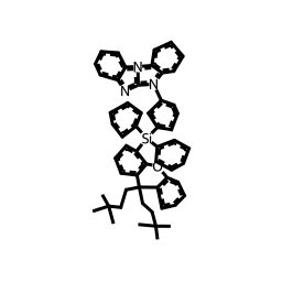 CC(C)(C)CCC1(CCC(C)(C)C)c2ccccc2Oc2c1cccc2[Si](c1ccccc1)(c1ccccc1)c1cccc(-n2c3ccccc3n3c4ccccc4nc23)c1